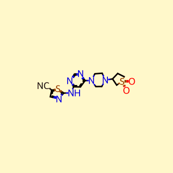 N#Cc1cnc(Nc2cc(N3CCN(C4CCS(=O)(=O)C4)CC3)ncn2)s1